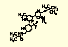 C=C1C=C([C@H](C)/C=N\C(C#CC(C)(C)C)CN)C=C(C2=C(C(F)(F)F)C=CC(CNC(=O)C(C)C)NC2)N1